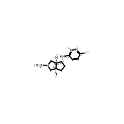 O=C(O)N1C[C@@H]2CC[C@@H](Nc3ccc(Cl)nn3)[C@@H]2C1